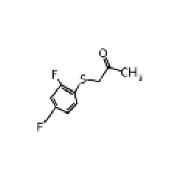 CC(=O)CSc1ccc(F)cc1F